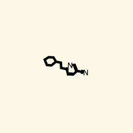 N#Cc1ccc(CCC2CCCCC2)nc1